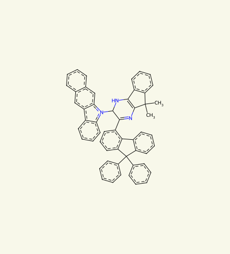 CC1(C)C2=C(NC(n3c4ccccc4c4cc5ccccc5cc43)C(c3cccc4c3-c3ccccc3C4(c3ccccc3)c3ccccc3)=N2)c2ccccc21